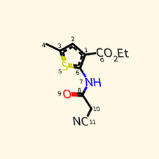 CCOC(=O)c1cc(C)sc1NC(=O)CC#N